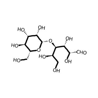 O=C[C@H](O)[C@@H](O)[C@H](O[C@@H]1O[C@H](CO)[C@@H](O)[C@H](O)[C@@H]1O)[C@H](O)CO